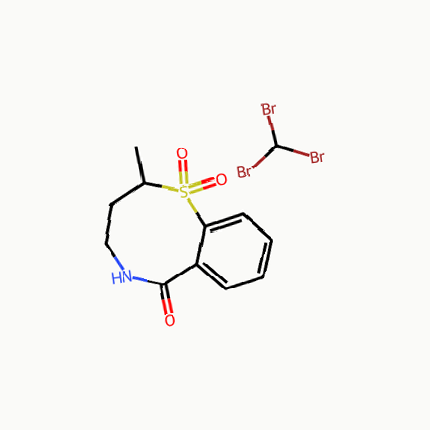 BrC(Br)Br.CC1CCNC(=O)c2ccccc2S1(=O)=O